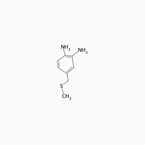 CSCc1ccc(N)c(N)c1